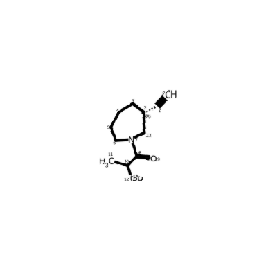 C#C[C@H]1CCCCN(C(=O)C(C)C(C)(C)C)C1